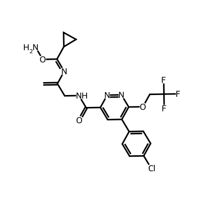 C=C(CNC(=O)c1cc(-c2ccc(Cl)cc2)c(OCC(F)(F)F)nn1)/N=C(\ON)C1CC1